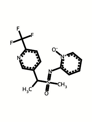 CC(c1ccc(C(F)(F)F)nc1)S(C)(=O)=Nc1cccc[n+]1[O-]